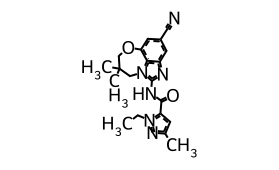 CCn1nc(C)cc1C(=O)Nc1nc2cc(C#N)cc3c2n1CC(C)(C)CO3